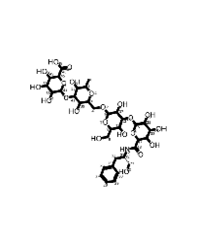 CC1OC(COC2OC(CO)C(O)C(OC3OC(C(=O)N[C@H](CO)Cc4ccccc4)C(O)C(O)C3O)C2O)C(O)C(OC2OC(C(=O)O)C(O)C(O)C2O)C1O